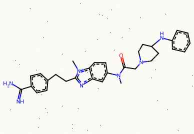 CN(C(=O)CN1CCC(Nc2ccccc2)CC1)c1ccc2c(c1)nc(CCc1ccc(C(=N)N)cc1)n2C